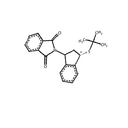 CC(C)(C)S[C@H]1CC(N2C(=O)c3ccccc3C2=O)c2ccccc21